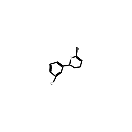 Clc1cccc(C2CCC=C(Br)O2)c1